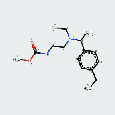 CCc1ccc(C(C)N(CC)CCNC(=O)OC)cc1